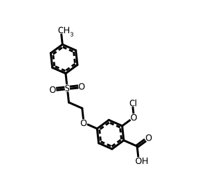 Cc1ccc(S(=O)(=O)CCOc2ccc(C(=O)O)c(OCl)c2)cc1